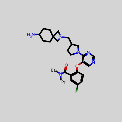 CCN(C(=O)c1cc(F)ccc1Oc1cncnc1N1CCC(CN2CC3(CCC(N)CC3)C2)C1)C(C)C